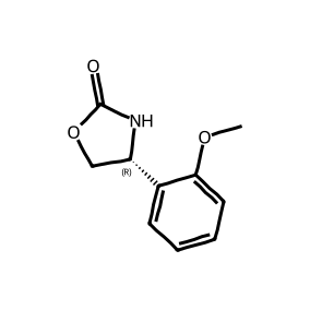 COc1ccccc1[C@@H]1COC(=O)N1